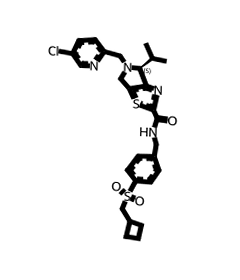 CC(C)[C@H]1c2nc(C(=O)NCc3ccc(S(=O)(=O)CC4CCC4)cc3)sc2CN1Cc1ccc(Cl)cn1